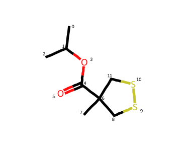 CC(C)OC(=O)C1(C)CSSC1